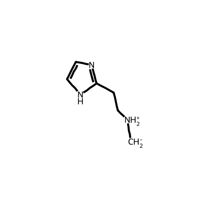 [CH2-][NH2+]CCc1ncc[nH]1